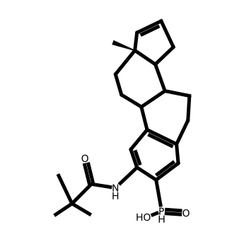 CC(C)(C)C(=O)Nc1cc2c(cc1[PH](=O)O)CCC1C2CC[C@]2(C)C=CCC12